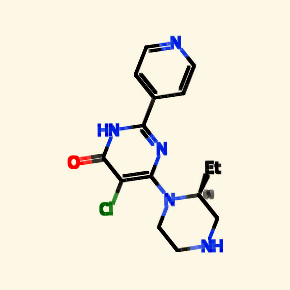 CC[C@H]1CNCCN1c1nc(-c2ccncc2)[nH]c(=O)c1Cl